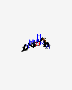 CC1CCN(Cc2cccc(NC(=O)Nc3csc(-c4ccncc4)n3)n2)CC1